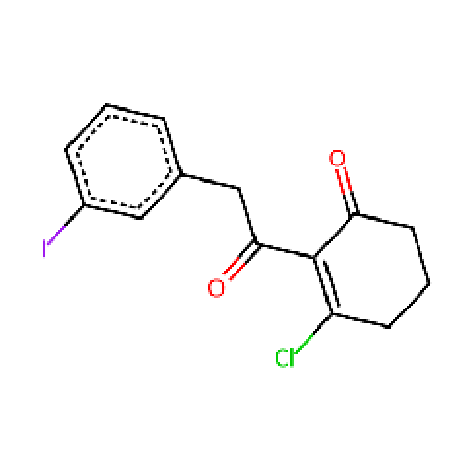 O=C1CCCC(Cl)=C1C(=O)Cc1cccc(I)c1